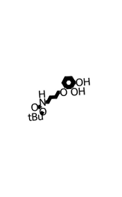 CC(C)(C)OC(=O)NCCCCOc1cccc(O)c1O